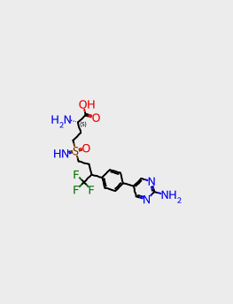 N=S(=O)(CCC(c1ccc(-c2cnc(N)nc2)cc1)C(F)(F)F)CC[C@H](N)C(=O)O